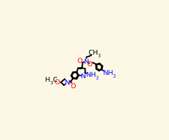 CCCN(OCc1ccc(N)cc1)C(=O)C1=Cc2ccc(C(=O)N3CC(OC)C3)cc2N=C(N)C1